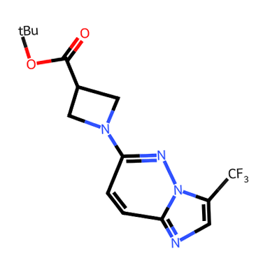 CC(C)(C)OC(=O)C1CN(c2ccc3ncc(C(F)(F)F)n3n2)C1